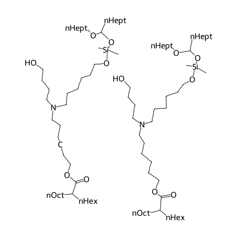 CCCCCCCCC(CCCCCC)C(=O)OCCCCCCN(CCCCO)CCCCCCO[Si](C)(C)OC(CCCCCCC)OCCCCCCC.CCCCCCCCC(CCCCCC)C(=O)OCCCCCCN(CCCCO)CCCCCCO[Si](C)(C)OC(CCCCCCC)OCCCCCCC